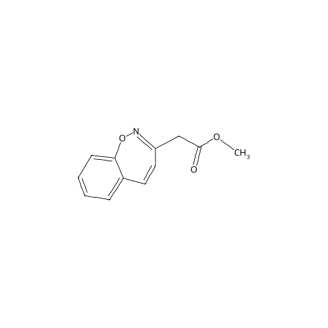 COC(=O)CC1=NOc2ccccc2C=C1